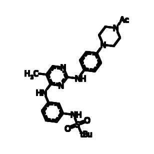 CC(=O)N1CCN(c2ccc(Nc3ncc(C)c(Nc4cccc(NS(=O)(=O)C(C)(C)C)c4)n3)cc2)CC1